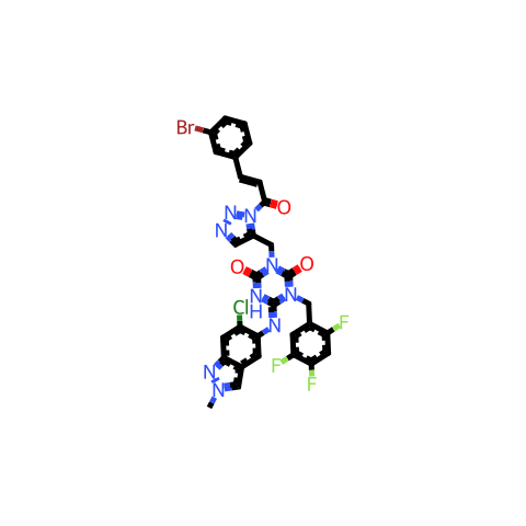 Cn1cc2cc(/N=c3\[nH]c(=O)n(Cc4cnnn4C(=O)/C=C/c4cccc(Br)c4)c(=O)n3Cc3cc(F)c(F)cc3F)c(Cl)cc2n1